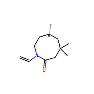 C=CN1CC[C@H](C)CC(C)(C)CC1=O